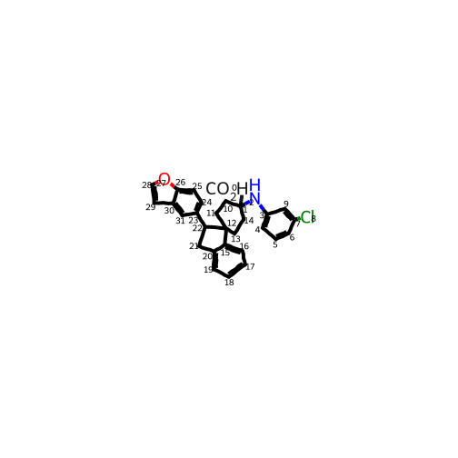 O=C(O)C1(Nc2cccc(Cl)c2)CCC2(CC1)c1ccccc1CC2c1ccc2occc2c1